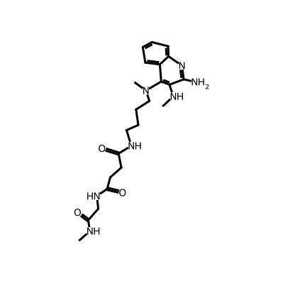 CNC(=O)CNC(=O)CCC(=O)NCCCCN(C)c1c(NC)c(N)nc2ccccc12